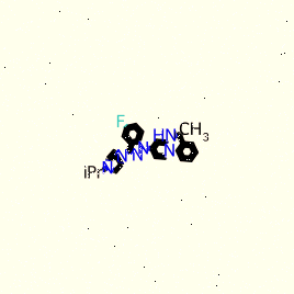 CC(C)N1CC2CC1CN2c1nn(-c2ccnc(N[C@@H](C)c3ccccc3)c2)c2ccc(F)cc12